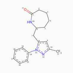 O=C1CCCCC(Cc2cc(C(F)(F)F)nn2-c2ccccc2)N1